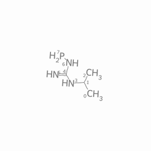 CC(C)NC(=N)NP